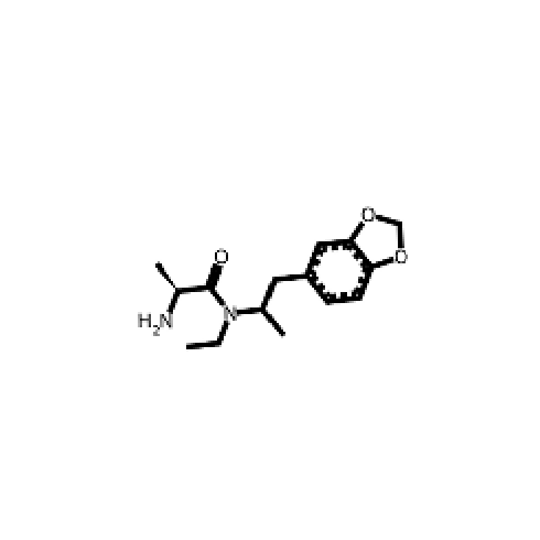 CCN(C(=O)[C@H](C)N)C(C)Cc1ccc2c(c1)OCO2